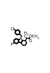 COC(=O)C(C)C1CCCc2c1n(Cc1ccc(Cl)cc1)c1ccc(F)cc21